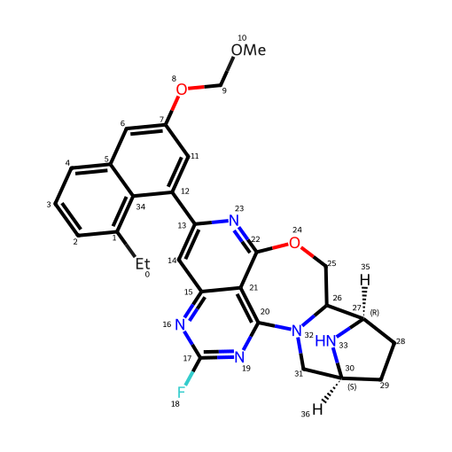 CCc1cccc2cc(OCOC)cc(-c3cc4nc(F)nc5c4c(n3)OCC3[C@H]4CC[C@@H](CN53)N4)c12